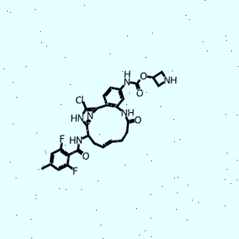 Cc1cc(F)c(C(=O)NC2C/C=C/CCC(=O)Nc3cc(NC(=O)OC4CNC4)ccc3-c3nc2[nH]c3Cl)c(F)c1